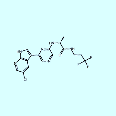 C[C@H](Nc1cncc(-c2c[nH]c3ncc(Cl)cc23)n1)C(=O)NCCC(F)(F)F